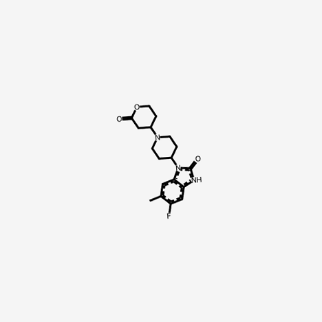 Cc1cc2c(cc1F)[nH]c(=O)n2C1CCN(C2CCOC(=O)C2)CC1